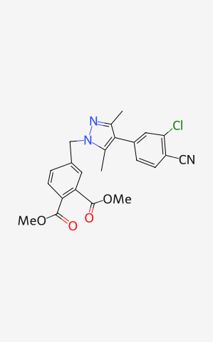 COC(=O)c1ccc(Cn2nc(C)c(-c3ccc(C#N)c(Cl)c3)c2C)cc1C(=O)OC